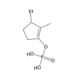 CCC1CCC(OP(=O)(O)O)=C1C